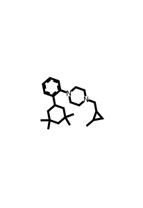 CC1CC1CN1CCN(c2ccccc2C2CC(C)(C)CC(C)(C)C2)CC1